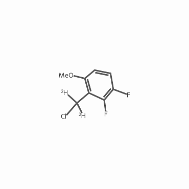 [2H]C([2H])(Cl)c1c(OC)ccc(F)c1F